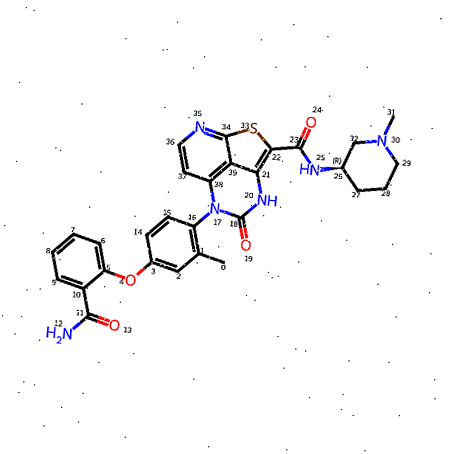 Cc1cc(Oc2ccccc2C(N)=O)ccc1N1C(=O)Nc2c(C(=O)N[C@@H]3CCCN(C)C3)sc3nccc1c23